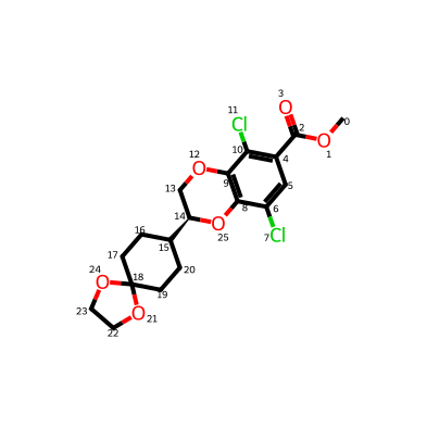 COC(=O)c1cc(Cl)c2c(c1Cl)OC[C@H](C1CCC3(CC1)OCCO3)O2